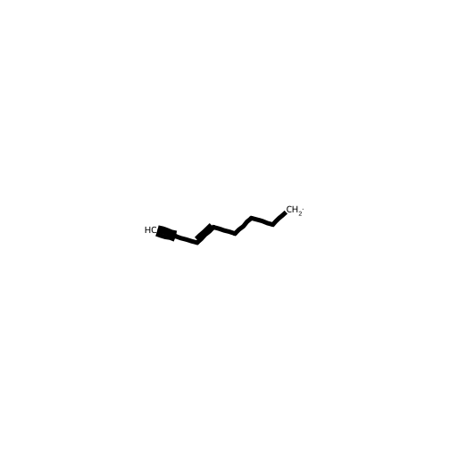 C#CC=CCCC[CH2]